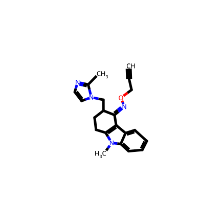 C#CCO/N=C1/c2c(n(C)c3ccccc23)CCC1Cn1ccnc1C